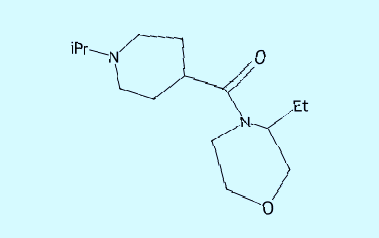 CCC1COCCN1C(=O)C1CCN(C(C)C)CC1